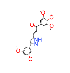 COc1cc(OC)cc(-c2cc(/C=C/C(=O)c3cc(OC)c(OC)c(OC)c3)[nH]n2)c1